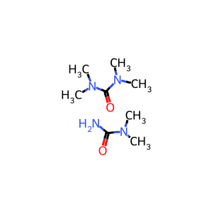 CN(C)C(=O)N(C)C.CN(C)C(N)=O